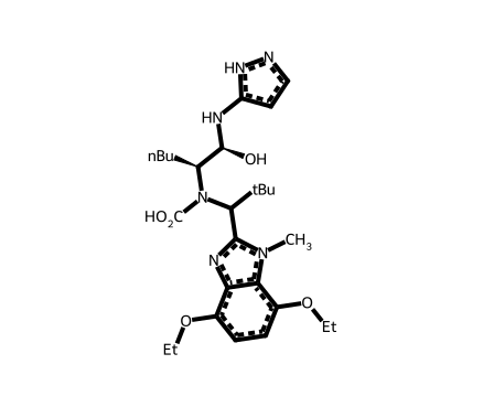 CCCC[C@@H]([C@H](O)Nc1ccn[nH]1)N(C(=O)O)C(c1nc2c(OCC)ccc(OCC)c2n1C)C(C)(C)C